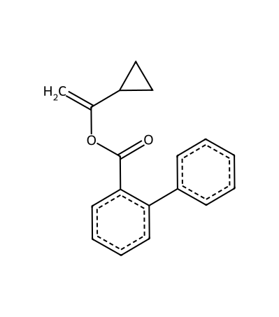 C=C(OC(=O)c1ccccc1-c1ccccc1)C1CC1